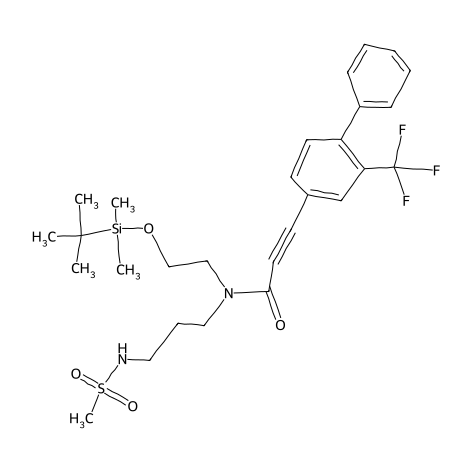 CC(C)(C)[Si](C)(C)OCCN(CCCNS(C)(=O)=O)C(=O)C#Cc1ccc(-c2ccccc2)c(C(F)(F)F)c1